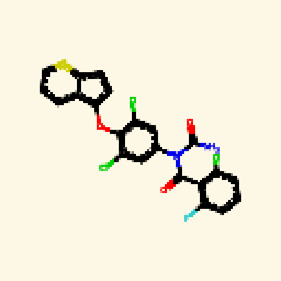 NC(=O)N(C(=O)c1c(F)cccc1Cl)c1cc(Cl)c(Oc2ccc3scccc2-3)c(Cl)c1